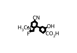 Cn1c(F)cc2c(-c3ccc(C(=O)O)c(O)c3)cc(C#N)cc21